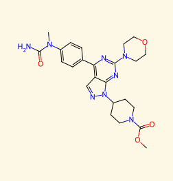 COC(=O)N1CCC(n2ncc3c(-c4ccc(N(C)C(N)=O)cc4)nc(N4CCOCC4)nc32)CC1